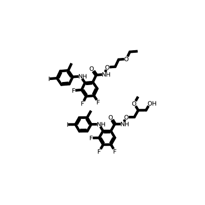 CCOCCONC(=O)c1cc(F)c(F)c(F)c1Nc1ccc(I)cc1C.COC(CO)CONC(=O)c1cc(F)c(F)c(F)c1Nc1ccc(I)cc1C